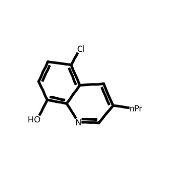 CCCc1cnc2c(O)ccc(Cl)c2c1